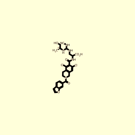 C[C@@H](CO)NC(NC#N)NCC(NC(=O)c1c(Cl)cc2c(c1Cl)CCN(C(=O)c1ccc3ccoc3c1)C2)C(=O)O